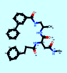 CC(CNC(=O)c1cccc(-c2ccccc2)c1)NC(=O)C(CC(=O)NC(C)(C)C)NC(=O)CCc1ccccc1